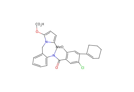 COc1cc(C2=CCCCC2)c(Cl)cc1C(=O)N1Cc2ccc(OC(=O)O)n2Cc2ccccc21